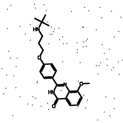 COc1cccc2c(=O)[nH]c(-c3ccc(OCCCNC(C)(C)C)cc3)nc12